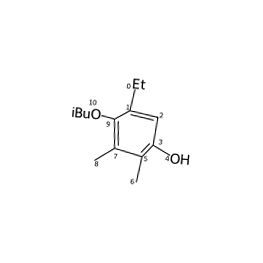 CCc1cc(O)c(C)c(C)c1OCC(C)C